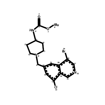 CC(C)(C)OC(=O)NC1CCN(Cc2cc(Cl)c3cncc(Br)c3c2)CC1